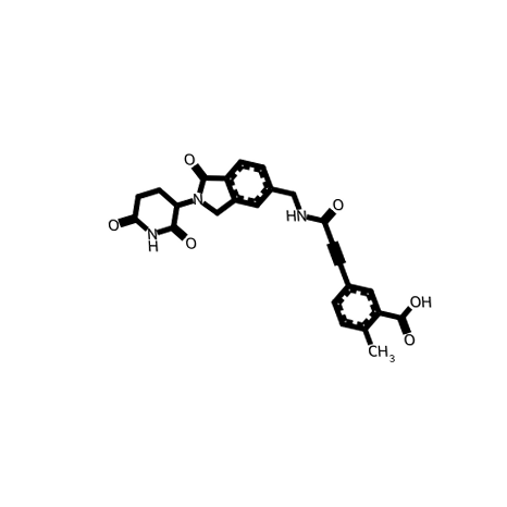 Cc1ccc(C#CC(=O)NCc2ccc3c(c2)CN(C2CCC(=O)NC2=O)C3=O)cc1C(=O)O